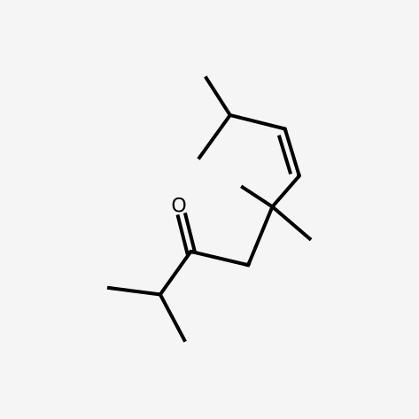 CC(C)/C=C\C(C)(C)CC(=O)C(C)C